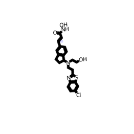 O=C(/C=C/c1ccc2c(c1)CCC2N(CCO)CCc1nc2ccc(Cl)cc2s1)NO